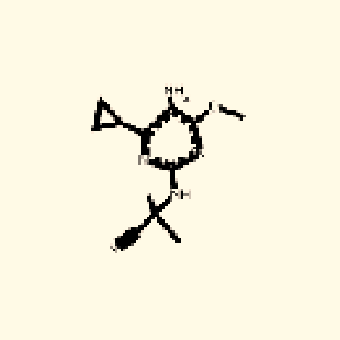 COc1nc(NC(C)(C)C#N)nc(C2CC2)c1N